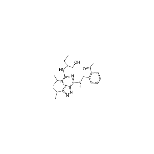 CCC(CO)Nc1nc(NCc2ccccc2C(C)=O)c2nnc(C(C)C)c-2n1C(C)C